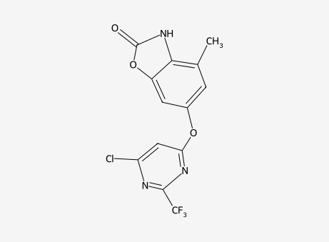 Cc1cc(Oc2cc(Cl)nc(C(F)(F)F)n2)cc2oc(=O)[nH]c12